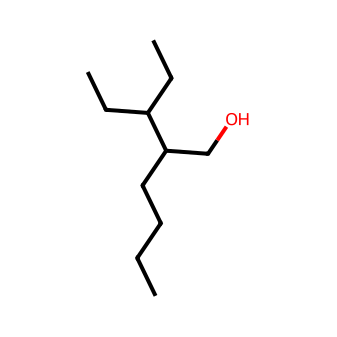 CCCCC(CO)C(CC)CC